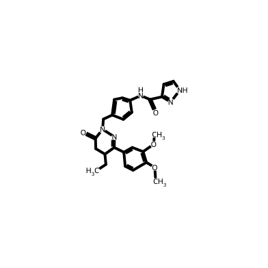 CCC1CC(=O)N(Cc2ccc(NC(=O)c3cc[nH]n3)cc2)N=C1c1ccc(OC)c(OC)c1